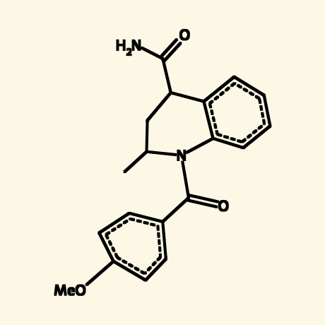 COc1ccc(C(=O)N2c3ccccc3C(C(N)=O)CC2C)cc1